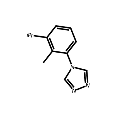 Cc1c(C(C)C)cccc1-n1cnnc1